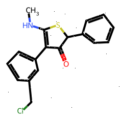 CNC1=C(c2cccc(CCl)c2)C(=O)C(c2ccccc2)S1